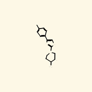 NC1CCN(c2nc(-c3ccc(Cl)cc3)c[nH]2)CC1